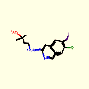 CC(C)(O)CCNc1cc2cc(I)c(Br)cc2cn1